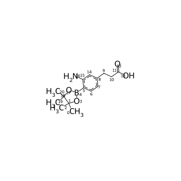 CC1(C)OB(c2ccc(CCC(=O)O)cc2N)OC1(C)C